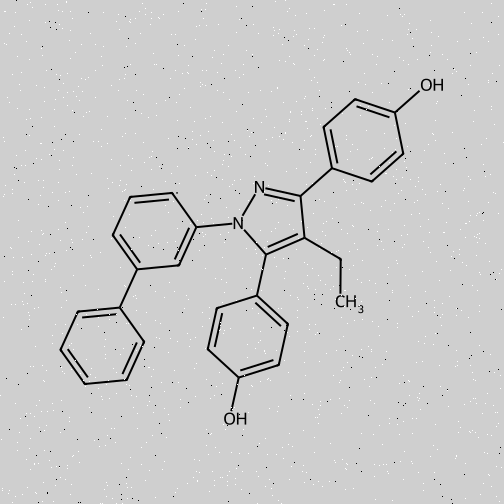 CCc1c(-c2ccc(O)cc2)nn(-c2[c]ccc(-c3ccccc3)c2)c1-c1ccc(O)cc1